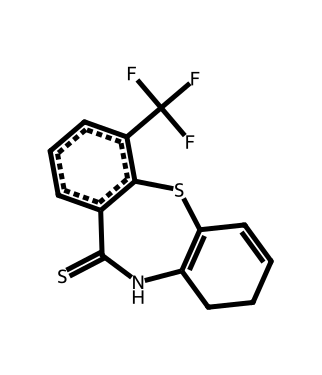 FC(F)(F)c1cccc2c1SC1=C(CCC=C1)NC2=S